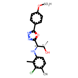 Cc1c(N[C@@H](c2nnc(-c3ccc(OS(=O)(=O)O)cc3)o2)[C@H](C)O)ccc(C#N)c1Cl